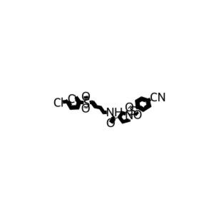 N#Cc1ccc(S(=O)(=O)N2CC[C@H](C(=O)NCC/C=C/S(=O)(=O)c3ccc(Cl)cc3)C2)cc1